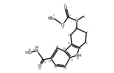 CN(C(=O)OC(C)(C)C)C1CCc2[nH]c3ccc(C(=O)NO)cc3c2C1